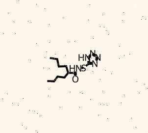 CCCCC(CCCC)C(=O)NSc1nnn[nH]1